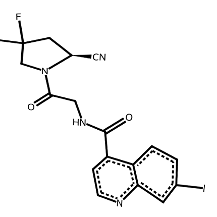 N#C[C@@H]1CC(F)(F)CN1C(=O)CNC(=O)c1ccnc2cc(I)ccc12